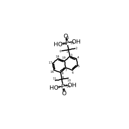 CC(C)(c1cccc2c(C(C)(C)P(=O)(O)O)cccc12)P(=O)(O)O